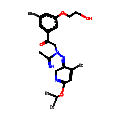 CCC1=CC(OC(CC)CC)=NC/C1=N\N(CC(=O)c1cc(OCCO)cc(C(C)(C)C)c1)C(C)=N